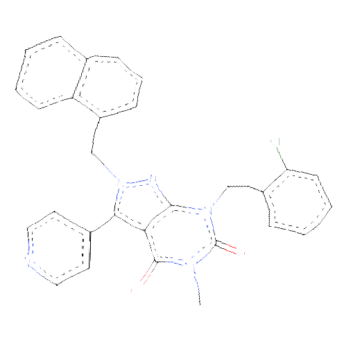 Cn1c(=O)c2c(-c3ccncc3)n(Cc3cccc4ccccc34)nc2n(Cc2ccccc2Cl)c1=O